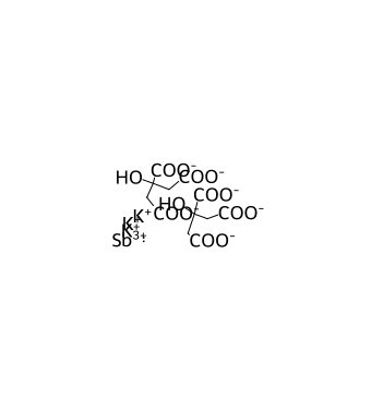 O=C([O-])CC(O)(CC(=O)[O-])C(=O)[O-].O=C([O-])CC(O)(CC(=O)[O-])C(=O)[O-].[K+].[K+].[K+].[Sb+3]